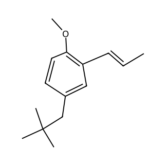 CC=Cc1cc(CC(C)(C)C)ccc1OC